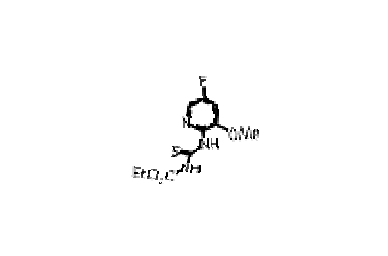 CCOC(=O)NC(=S)Nc1ncc(F)cc1OC